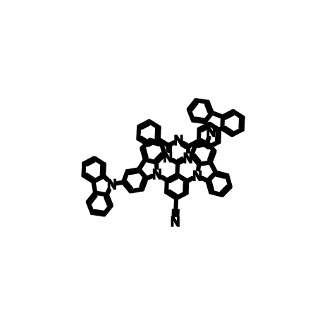 N#Cc1cc(-n2c3ccccc3c3cc(-n4c5ccccc5c5ccccc54)ccc32)c(-c2nc(-c3ccccc3)nc(-c3ccccc3)n2)c(-n2c3ccccc3c3cc(-n4c5ccccc5c5ccccc54)ccc32)c1